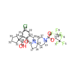 O=C(OC(C(F)(F)F)C(F)(F)F)N1CCC2(CCCN2Cc2cc(Cl)cc(C3(C(=O)O)CCCC3)c2)CC1